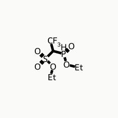 CCO[PH](=O)C(C(F)(F)F)S(=O)(=O)OCC